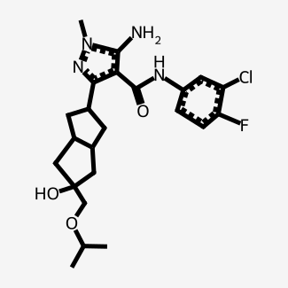 CC(C)OCC1(O)CC2CC(c3nn(C)c(N)c3C(=O)Nc3ccc(F)c(Cl)c3)CC2C1